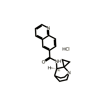 Cl.O=C(N[C@@H]1C2CCN(CC2)C12CC2)c1ccc2ncccc2c1